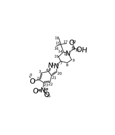 COc1cc2nn(C3CCN(C(=O)O)C(C(C)(C)C)C3)cc2cc1[N+](=O)[O-]